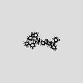 c1ccc(-c2cccc(-c3nc(-c4ccc5c(c4)oc4cc6c(cc45)c4ccccc4n6-c4ccccc4)nc(-c4cccc5sc6ccccc6c45)n3)c2)cc1